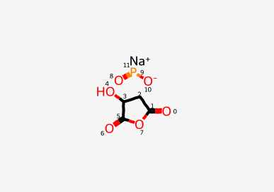 O=C1CC(O)C(=O)O1.O=P[O-].[Na+]